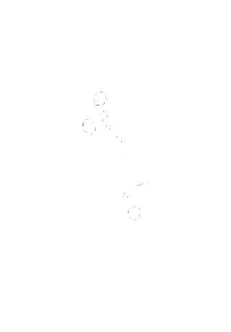 NC(Cc1ccccc1)C(=O)OCCOCCN1CCN(C2=Nc3ccccc3Sc3ccccc32)CC1